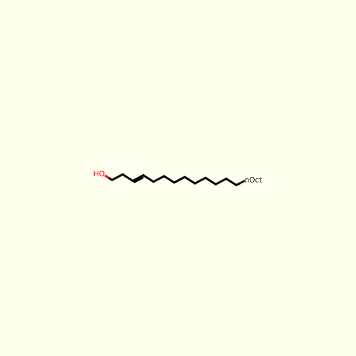 CCCCCCCCCCCCCCCCCC=CCCO